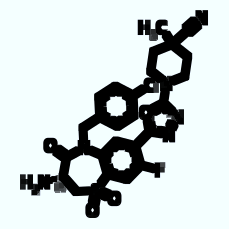 CC1(C#N)CCN(c2nnc(-c3cc4c(cc3F)S(=O)(=O)C[C@H](N)C(=O)N4Cc3ccc(Cl)cc3)o2)CC1